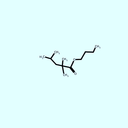 CCCCOC(=O)C(C)(C)CC(C)C